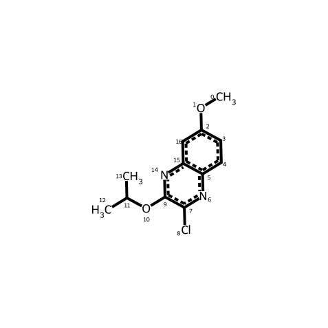 COc1ccc2nc(Cl)c(OC(C)C)nc2c1